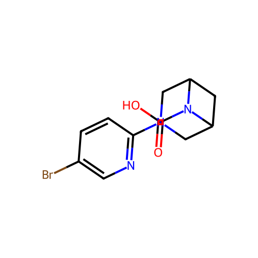 O=C(O)N1C2CC1CN(c1ccc(Br)cn1)C2